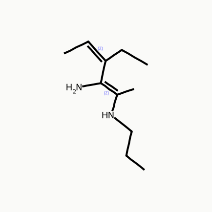 C/C=C(CC)\C(N)=C(/C)NCCC